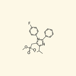 COP(=O)(Cc1c(C(C)C)nc(-c2ccccc2)n1-c1ccc(F)cc1)OC